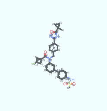 CC1(c2nc(C34CCC(CN(C(=O)C56CC(F)(C5)C6)c5cccc(-c6ccc(NS(C)(=O)=O)cc6)c5)(CC3)CC4)no2)CC1